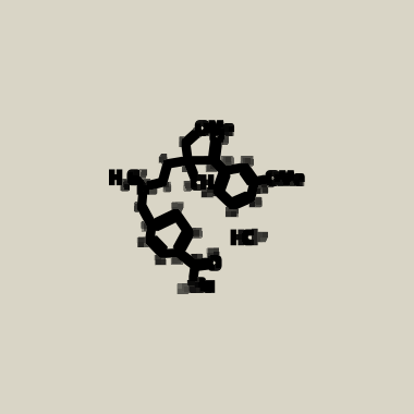 COCC(C)(CCN(C)Cc1ccc(C(=O)C(C)(C)C)cc1)C(=O)c1cccc(OC)c1.Cl